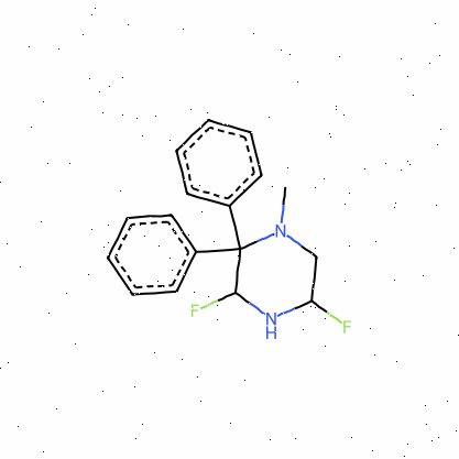 CN1CC(F)NC(F)C1(c1ccccc1)c1ccccc1